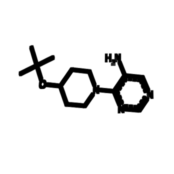 CC(C)(C)OC1CCN(c2ncncc2N)CC1